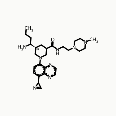 CCCC(N)[C@H]1CC(C(=O)NCCN2CCN(C)CC2)CN(c2ccc(C3C=N3)c3nccnc23)C1